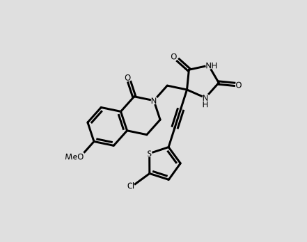 COc1ccc2c(c1)CCN(CC1(C#Cc3ccc(Cl)s3)NC(=O)NC1=O)C2=O